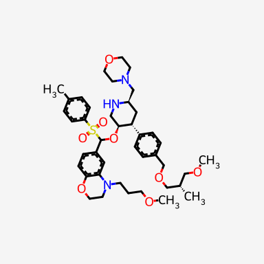 COCCCN1CCOc2ccc(C(O[C@H]3CN[C@@H](CN4CCOCC4)C[C@@H]3c3ccc(COC[C@@H](C)COC)cc3)S(=O)(=O)c3ccc(C)cc3)cc21